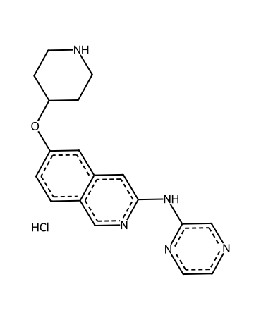 Cl.c1cnc(Nc2cc3cc(OC4CCNCC4)ccc3cn2)cn1